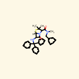 CN(Cc1ccccc1)C(=O)C1N2C(=O)C(NC(c3ccccc3)(c3ccccc3)c3ccccc3)[C@@H]2SC1(C)C